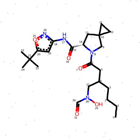 CCCCC(CC(=O)N1CC2(CC2)C[C@H]1C(=O)Nc1cc(C(C)(C)C)on1)CN(O)C=O